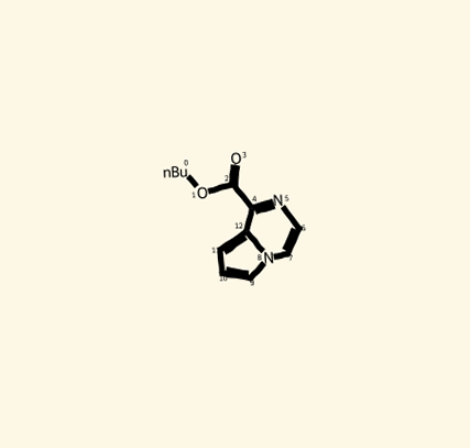 CCCCOC(=O)c1nccn2cccc12